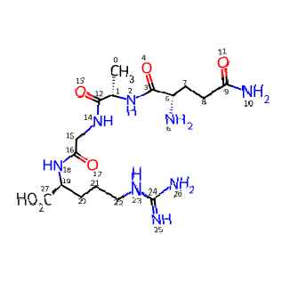 C[C@H](NC(=O)[C@@H](N)CCC(N)=O)C(=O)NCC(=O)N[C@@H](CCCNC(=N)N)C(=O)O